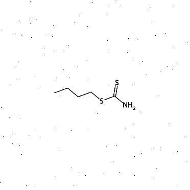 CCCCSC(N)=S